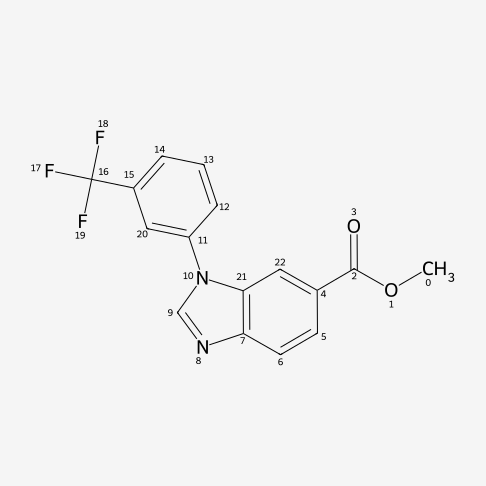 COC(=O)c1ccc2ncn(-c3cccc(C(F)(F)F)c3)c2c1